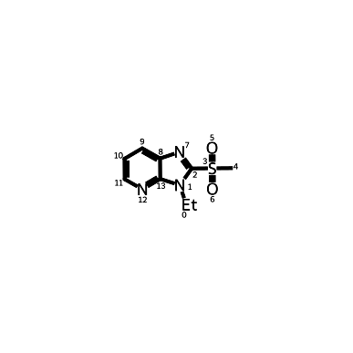 CCn1c(S(C)(=O)=O)nc2cccnc21